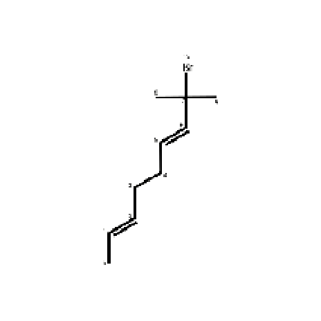 CC=CCCC=CC(C)(C)Br